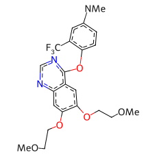 CNc1ccc(Oc2ncnc3cc(OCCOC)c(OCCOC)cc23)c(C(F)(F)F)c1